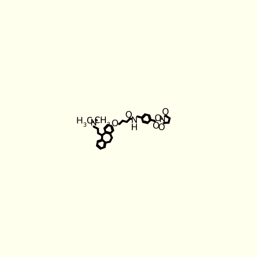 CN(C)CCCC1c2ccccc2CCc2cc(OCCCC(=O)NCc3ccc(C(=O)ON4C(=O)CCC4=O)cc3)ccc21